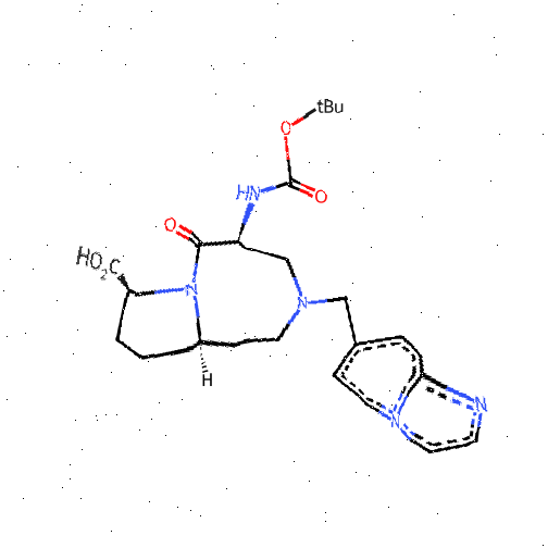 CC(C)(C)OC(=O)N[C@H]1CN(Cc2ccn3ccnc3c2)CC[C@H]2CC[C@@H](C(=O)O)N2C1=O